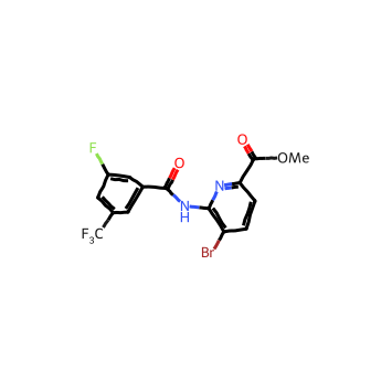 COC(=O)c1ccc(Br)c(NC(=O)c2cc(F)cc(C(F)(F)F)c2)n1